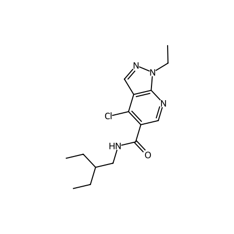 CCC(CC)CNC(=O)c1cnc2c(cnn2CC)c1Cl